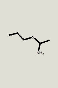 CC[CH]SC(C)N